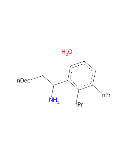 CCCCCCCCCCCC(N)c1cccc(CCC)c1CCC.O